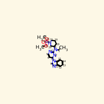 CCN(c1nccc(-n2cnc3ccccc32)n1)C1CCCN(P(=O)(OC)OC)C1